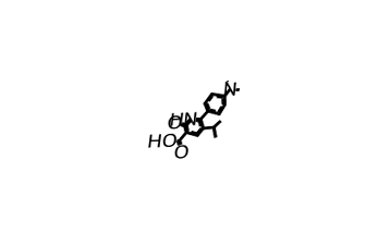 CC(C)c1cc(C(=O)O)c(=O)[nH]c1-c1ccc(N(C)C)cc1